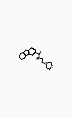 O=C(NCCN1CCOCC1)c1ccc2c(c1)C1=C(CCCC1)C2